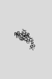 CC(C)(C)OC(=O)COc1ccc(CNC(=O)[C@@H]2c3ccccc3C(=O)N([C@H]3CCCCC3CN[SH](=O)=O)[C@H]2c2ccc(Cl)cc2Cl)cc1